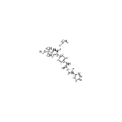 CCCCn1nc(C(C)(C)C)cc1-c1ccc(NC(=O)C2CN(c3cccnn3)C2)cc1